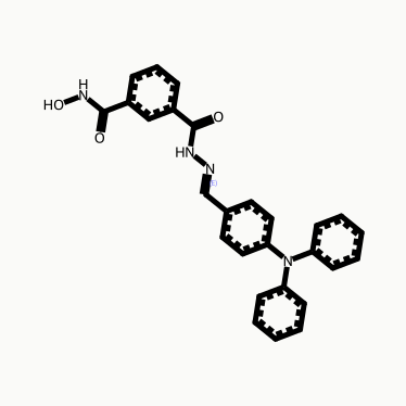 O=C(NO)c1cccc(C(=O)N/N=C/c2ccc(N(c3ccccc3)c3ccccc3)cc2)c1